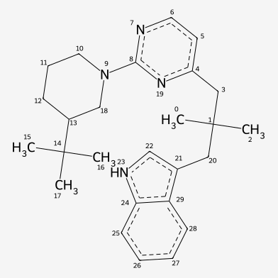 CC(C)(Cc1ccnc(N2CCCC(C(C)(C)C)C2)n1)Cc1c[nH]c2ccccc12